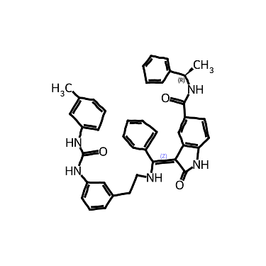 Cc1cccc(NC(=O)Nc2cccc(CCN/C(=C3\C(=O)Nc4ccc(C(=O)N[C@H](C)c5ccccc5)cc43)c3ccccc3)c2)c1